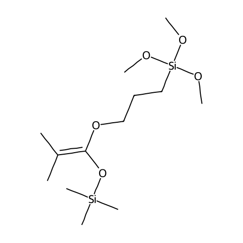 CO[Si](CCCOC(O[Si](C)(C)C)=C(C)C)(OC)OC